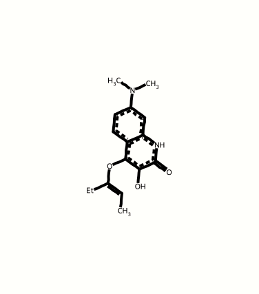 CC=C(CC)Oc1c(O)c(=O)[nH]c2cc(N(C)C)ccc12